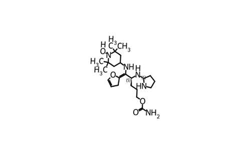 CC1(C)CC(NC(=C2CC=CO2)[C@H](CCCOC(N)=O)N[C@H]2CCCN2)CC(C)(C)N1O